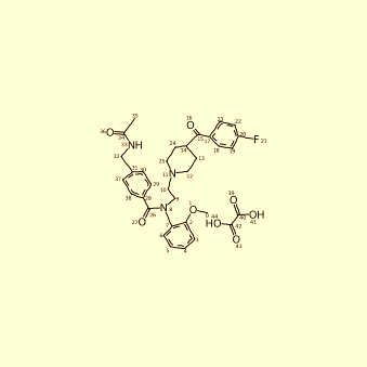 COc1ccccc1N(CCN1CCC(C(=O)c2ccc(F)cc2)CC1)C(=O)c1ccc(CNC(C)=O)cc1.O=C(O)C(=O)O